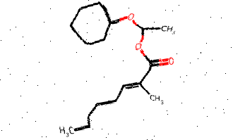 CCCCC=C(C)C(=O)OC(C)OC1CCCCC1